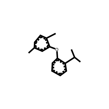 Cc1ccc(C)c(Oc2ccccc2C(C)C)c1